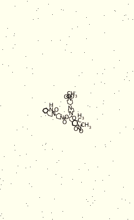 Cc1cc(C[C@@H](OC(=O)N2CCC(N3CCc4ccccc4NC3=O)CC2)C(=O)N2CCN(C3CCN(S(C)(=O)=O)CC3)CC2)cc2oc(=O)n(C)c12